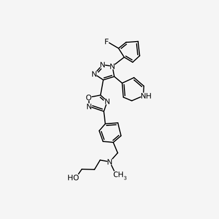 CN(CCCO)Cc1ccc(-c2noc(-c3nnn(-c4ccccc4F)c3C3=CCNC=C3)n2)cc1